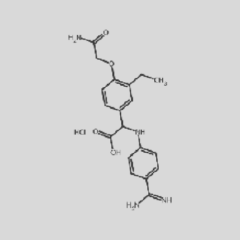 CCc1cc(C(Nc2ccc(C(=N)N)cc2)C(=O)O)ccc1OCC(N)=O.Cl